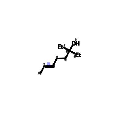 [CH2]/C=C/CCC(O)(CC)CC